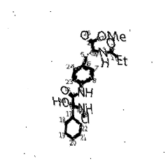 CCC(=O)N[C@H](Cc1ccc(NC(=O)[C@](O)(NCl)C2CCCCC2)cc1)C(=O)OC